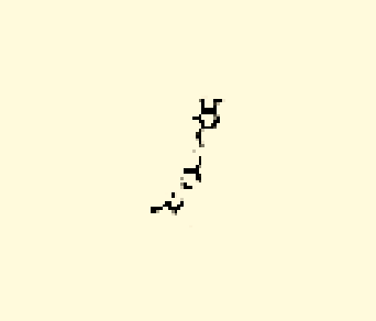 Cc1cn(-c2ncc(CNC[C@H](O)c3ccc4c(c3C)COC4=O)cn2)nc1C#N